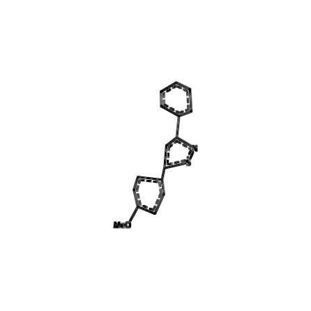 COc1ccc(-c2cc(-c3ccccc3)ns2)cc1